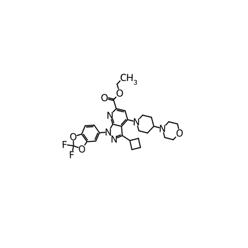 CCOC(=O)c1cc(N2CCC(N3CCOCC3)CC2)c2c(C3CCC3)nn(-c3ccc4c(c3)OC(F)(F)O4)c2n1